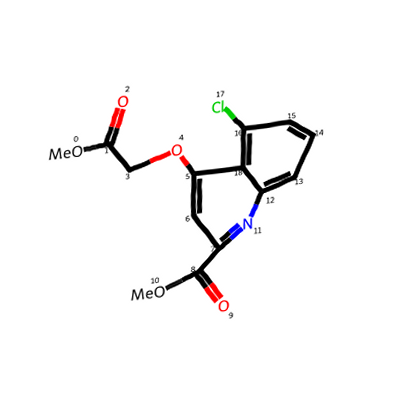 COC(=O)COc1cc(C(=O)OC)nc2cccc(Cl)c12